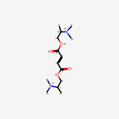 CC(COC(=O)C=CC(=O)OCC(C)N(C)C)N(C)C